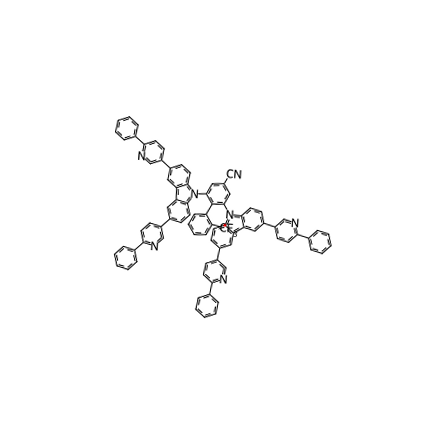 N#Cc1cc(-n2c3ccc(-c4ccc(-c5ccccc5)nc4)cc3c3cc(-c4ccc(-c5ccccc5)nc4)ccc32)c(-c2ccccc2C(F)(F)F)c(-n2c3ccc(-c4ccc(-c5ccccc5)nc4)cc3c3cc(-c4ccc(-c5ccccc5)nc4)ccc32)c1